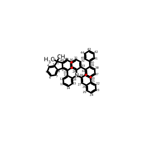 CC1(C)c2ccccc2-c2c(-c3ccccc3N(c3ccc4ccccc4c3)c3ccccc3-c3ccccc3-c3ccccc3)cccc21